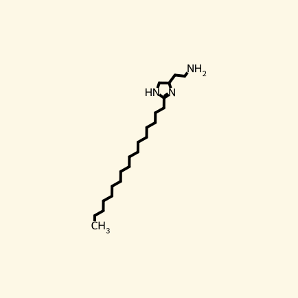 CCCCCCCCCCCCCCCCCC1=NC(CCN)CN1